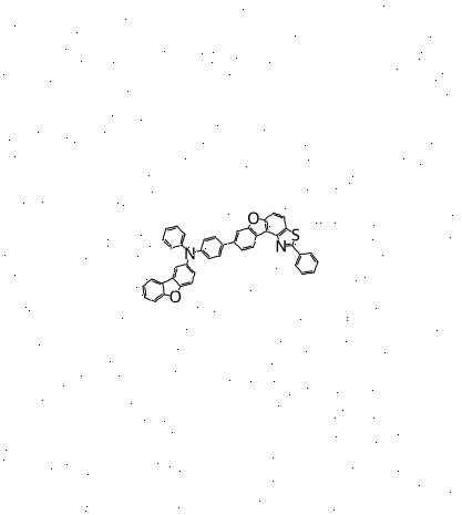 c1ccc(-c2nc3c(ccc4oc5cc(-c6ccc(N(c7ccccc7)c7ccc8oc9ccccc9c8c7)cc6)ccc5c43)s2)cc1